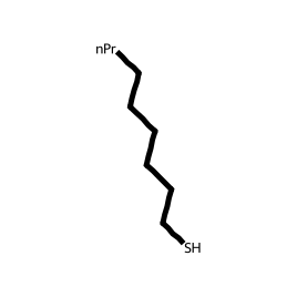 C[CH]CCCCCCCS